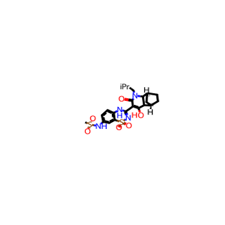 CC(C)CN1C(=O)C(C2=NS(=O)(=O)c3cc(NS(C)(=O)=O)ccc3N2)=C(O)C2C1[C@@H]1CC[C@H]2C1